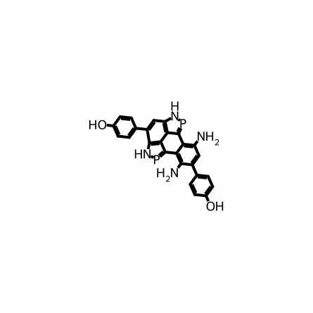 Nc1cc(-c2ccc(O)cc2)c(N)c2c3p[nH]c4c(-c5ccc(O)cc5)cc5[nH]pc(c12)c5c43